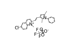 Cc1cc(/C=C/c2ccc3cc(Cl)ccc3[n+]2C)c(C)n1-c1ccccc1.O=S(=O)([O-])C(F)(F)F